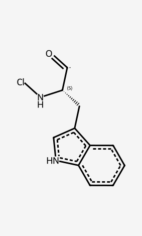 O=[C][C@H](Cc1c[nH]c2ccccc12)NCl